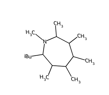 CCC(C)C1C(C)C(C)C(C)C(C)C(C)N1C